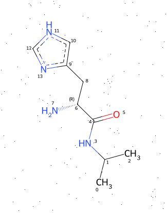 CC(C)NC(=O)[C@H](N)Cc1c[nH]cn1